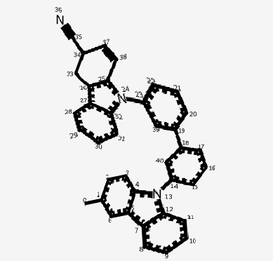 Cc1ccc2c(c1)c1ccccc1n2-c1cccc(-c2cccc(-n3c4c(c5ccccc53)CC(C#N)C=C4)c2)c1